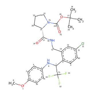 COc1ccc(NC(c2ccc(Cl)cc2CNC(=O)[C@@H]2CCCN2C(=O)OC(C)(C)C)C(F)(F)F)cc1